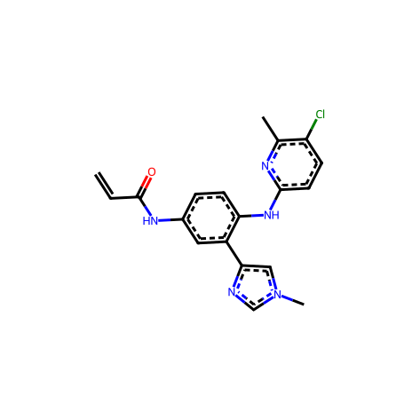 C=CC(=O)Nc1ccc(Nc2ccc(Cl)c(C)n2)c(-c2cn(C)cn2)c1